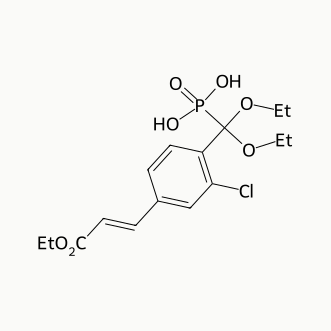 CCOC(=O)/C=C/c1ccc(C(OCC)(OCC)P(=O)(O)O)c(Cl)c1